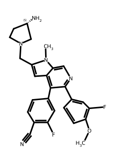 COc1ccc(-c2ncc3c(cc(CN4CC[C@H](N)C4)n3C)c2-c2ccc(C#N)c(F)c2)cc1F